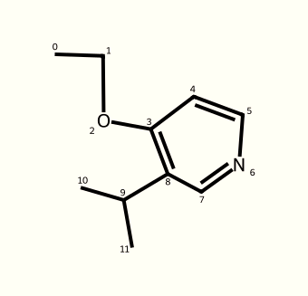 CCOc1ccncc1C(C)C